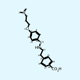 CN(C)CCCOc1ccc(SNCCc2ccc(C(=O)O)cc2)cc1